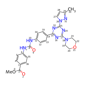 COC(=O)c1ccc(NC(=O)Nc2ccc(-c3nc(N4CCOCC4)nc(-n4ccc(C)n4)n3)cc2)cc1